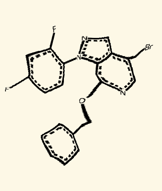 Fc1ccc(-n2ncc3c(Br)cnc(OCc4ccccc4)c32)c(F)c1